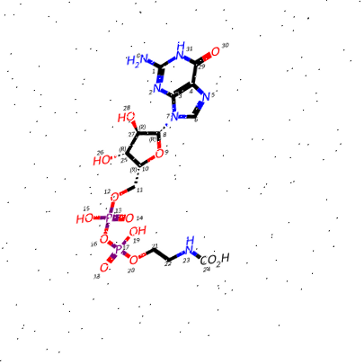 Nc1nc2c(ncn2[C@@H]2O[C@H](COP(=O)(O)OP(=O)(O)OCCNC(=O)O)[C@H](O)[C@H]2O)c(=O)[nH]1